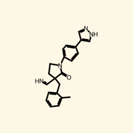 Cc1ccccc1CC1(C=N)CCN(c2ccc(-c3cn[nH]c3)cc2)C1=O